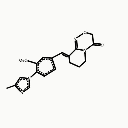 COc1cc(/C=C2\CCCN3C(=O)CON=C23)ccc1-n1cnc(C)c1